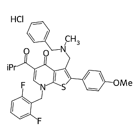 COc1ccc(-c2sc3c(c2CN(C)Cc2ccccc2)c(=O)c(C(=O)C(C)C)cn3Cc2c(F)cccc2F)cc1.Cl